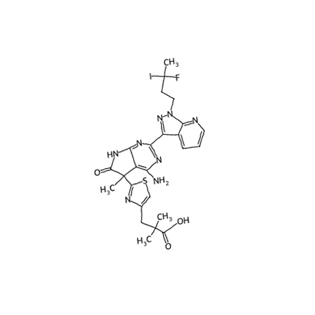 CC(F)(I)CCn1nc(-c2nc(N)c3c(n2)NC(=O)C3(C)c2nc(CC(C)(C)C(=O)O)cs2)c2cccnc21